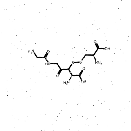 NCC(=O)NCC(=O)C(SSC[C@H](N)C(=O)O)[C@H](N)C(=O)O